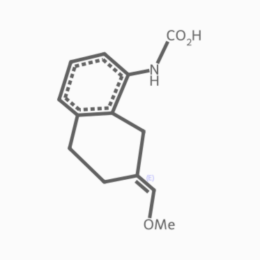 CO/C=C1\CCc2cccc(NC(=O)O)c2C1